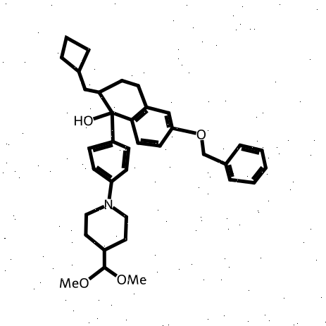 COC(OC)C1CCN(c2ccc(C3(O)c4ccc(OCc5ccccc5)cc4CCC3CC3CCC3)cc2)CC1